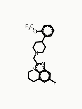 Fc1cc2c3c(c1)nc(CN1CCC(c4ccccc4OC(F)(F)F)CC1)n3CCC2